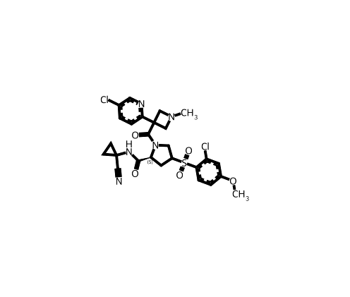 COc1ccc(S(=O)(=O)C2C[C@@H](C(=O)NC3(C#N)CC3)N(C(=O)C3(c4ccc(Cl)cn4)CN(C)C3)C2)c(Cl)c1